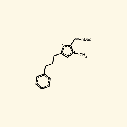 CCCCCCCCCCCc1nc(CCCc2ccccc2)cn1C